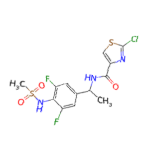 CC(NC(=O)c1csc(Cl)n1)c1cc(F)c(NS(C)(=O)=O)c(F)c1